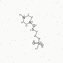 CN1CCN(OSCCCS(C)(=O)=O)CC1